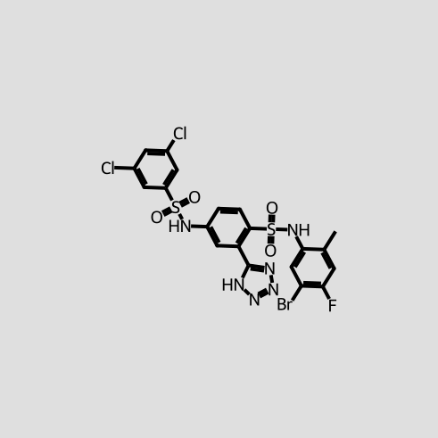 Cc1cc(F)c(Br)cc1NS(=O)(=O)c1ccc(NS(=O)(=O)c2cc(Cl)cc(Cl)c2)cc1-c1nnn[nH]1